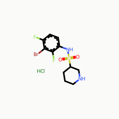 Cl.O=S(=O)(Nc1ccc(F)c(Br)c1F)C1CCCNC1